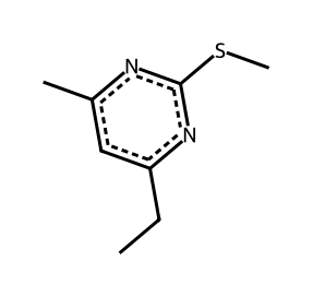 CCc1cc(C)nc(SC)n1